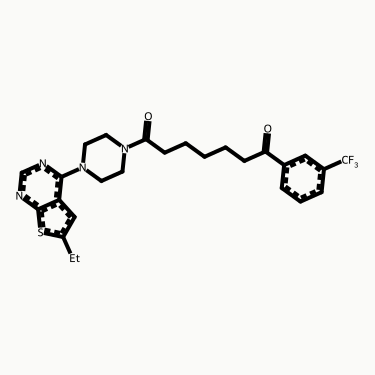 CCc1cc2c(N3CCN(C(=O)CCCCCC(=O)c4cccc(C(F)(F)F)c4)CC3)ncnc2s1